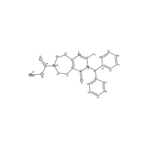 Cc1nc2c(c(=O)n1C(c1ccccc1)c1ccccc1)CCN(C(=O)OC(C)(C)C)CC2